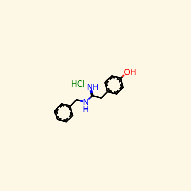 Cl.N=C(Cc1ccc(O)cc1)NCc1ccccc1